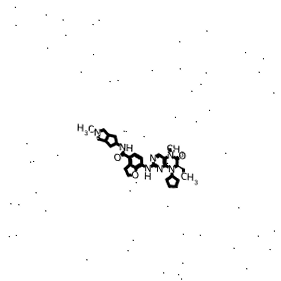 CC[C@@H]1C(=O)N(C)c2cnc(Nc3ccc(C(=O)NC4CC5CN(C)CC5C4)c4c3OCC4)nc2N1C1CCCC1